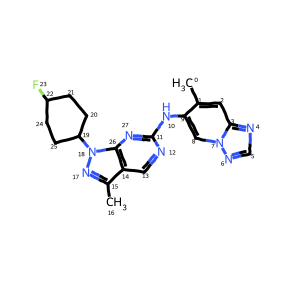 Cc1cc2ncnn2cc1Nc1ncc2c(C)nn(C3CCC(F)CC3)c2n1